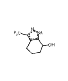 OC1CCCc2c(C(F)(F)F)n[nH]c21